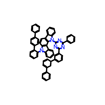 C1=CC(c2cccc(-c3nc(-c4ccccc4)nc(-n4c5ccccc5c5ccc6c(c7ccccc7n6-c6ccccc6-c6ccc(-c7ccccc7)cc6)c54)n3)c2)CC(c2ccccc2)=C1